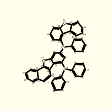 c1ccc(N(c2cc(N(c3ccccc3)c3ccccc3)c3c(c2)oc2c4ccccc4ccc23)c2cccc3oc4ccccc4c23)cc1